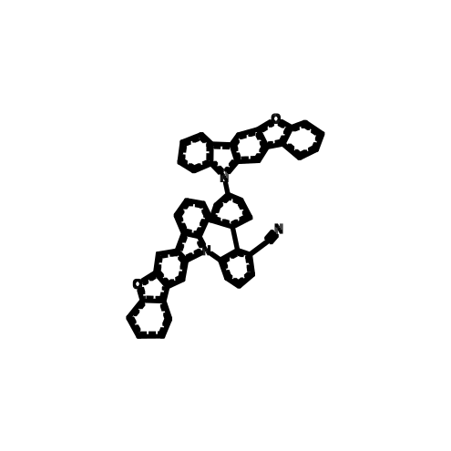 N#Cc1cccc(-n2c3ccccc3c3cc4oc5ccccc5c4cc32)c1-c1ccc(-n2c3ccccc3c3cc4oc5ccccc5c4cc32)cc1